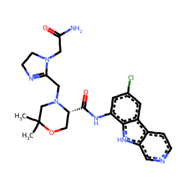 CC1(C)CN(CC2=NCCN2CC(N)=O)[C@H](C(=O)Nc2cc(Cl)cc3c2[nH]c2cnccc23)CO1